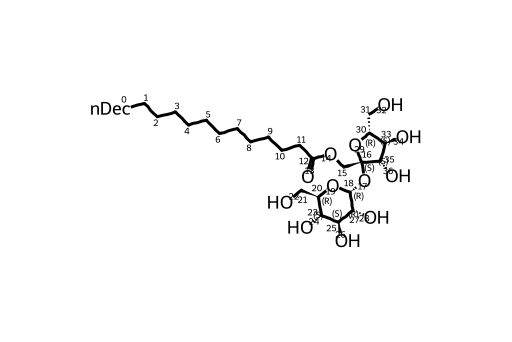 CCCCCCCCCCCCCCCCCCCCCC(=O)OC[C@@]1(O[C@H]2O[C@H](CO)[C@@H](O)[C@H](O)[C@H]2O)O[C@H](CO)[C@@H](O)[C@@H]1O